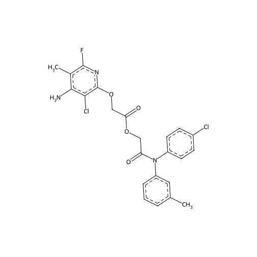 Cc1cccc(N(C(=O)COC(=O)COc2nc(F)c(C)c(N)c2Cl)c2ccc(Cl)cc2)c1